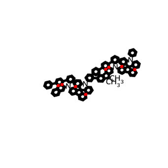 CC1(C)c2ccc(-c3cccc(N4c5ccccc5C5(c6ccccc6-c6ccc(N(c7ccc8ccccc8c7)c7ccccc7-c7ccc(-c8ccccc8)cc7)cc65)c5ccccc54)c3)cc2-c2ccc(N(c3ccc4c(c3)C3(c5ccccc5-4)c4ccccc4N(c4ccccc4)c4ccccc43)c3ccccc3-c3ccc(-c4ccccc4)cc3)cc21